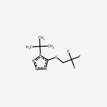 CC(C)(C)n1nnnc1SCC(F)(F)F